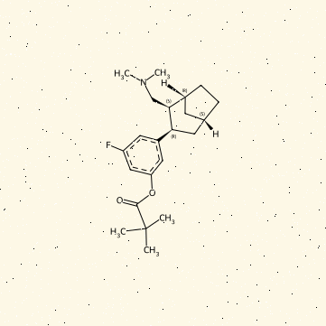 CN(C)C[C@H]1[C@@H]2CC[C@@H](C2)C[C@H]1c1cc(F)cc(OC(=O)C(C)(C)C)c1